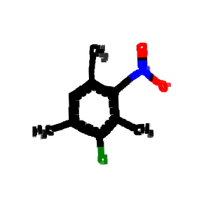 Cc1cc(C)c([N+](=O)[O-])c(C)c1Cl